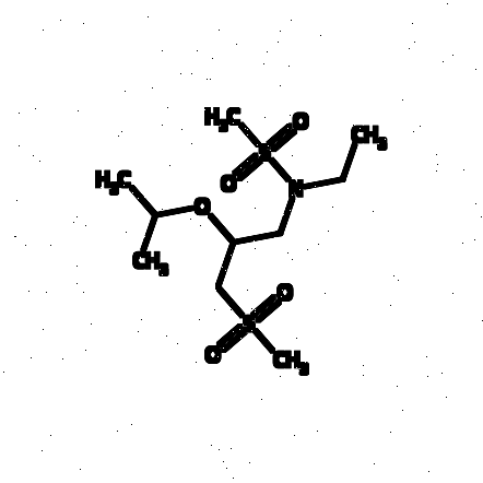 CCN(CC(CS(C)(=O)=O)OC(C)C)S(C)(=O)=O